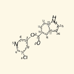 O=C(Oc1cncc(Cl)c1)c1ccc2[nH]ccc2c1